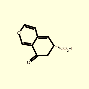 O=C1C[C@@H](C(=O)O)C=C2C=COC=C12